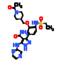 CCS(=O)(=O)Nc1ccc(-c2n[nH]c(Nc3cnccn3)c2C(N)=O)cc1OCC1CCN(C(C)=O)CC1